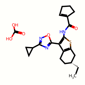 CC[C@@H]1CCc2c(sc(NC(=O)C3=CCCC3)c2-c2nc(C3CC3)no2)C1.O=C(O)O